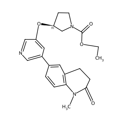 CCOC(=O)N1CC[C@H](Oc2cncc(-c3ccc4c(c3)CCC(=O)N4C)c2)C1